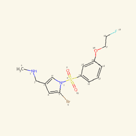 CNCc1cc(Br)n(S(=O)(=O)c2cccc(OCCF)c2)c1